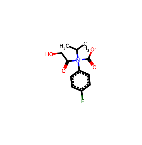 CC(C)[N+](C(=O)[O-])(C(=O)CO)c1ccc(F)cc1